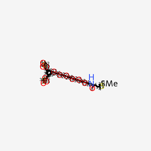 CSSC(C)(C)CCC(=O)NCCOCCOCCOCCOCCOCCOc1cc(COS(C)(=O)=O)cc(COS(C)(=O)=O)c1